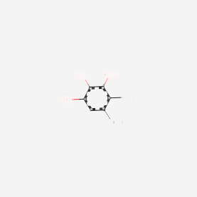 CCCCCc1cc(O)c(O)c(O)c1C